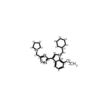 COc1cccc2c(-c3nsc(CN4CCCC4)n3)cn(CC3CCCCC3)c12